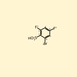 O=S(=O)(O)c1c(F)cc(F)cc1Br